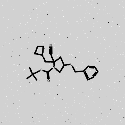 CC(C)(C)OC(=O)N1CC(OCc2ccccc2)CC1(C#N)CC1CCC1